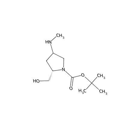 CNC1C[C@@H](CO)N(C(=O)OC(C)(C)C)C1